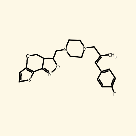 CC(=Cc1ccc(F)cc1)CN1CCN(CC2ON=C3c4sccc4OCC32)CC1